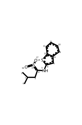 CC(C)CC(Nc1cc2ccccc2s1)=S(=O)=O